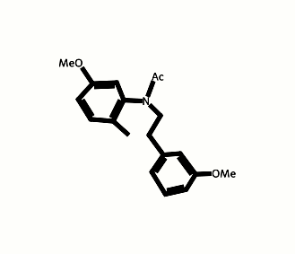 COc1cccc(CCN(C(C)=O)c2cc(OC)ccc2C)c1